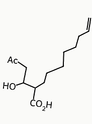 C=CCCCCCCC(C(=O)O)C(O)CC(C)=O